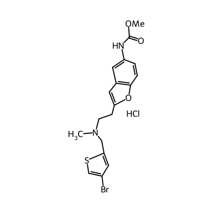 COC(=O)Nc1ccc2oc(CCN(C)Cc3cc(Br)cs3)cc2c1.Cl